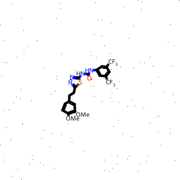 COc1ccc(CCc2nnc(NC(=O)Nc3cc(C(F)(F)F)cc(C(F)(F)F)c3)s2)cc1OC